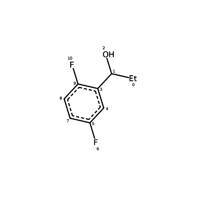 CCC(O)c1cc(F)ccc1F